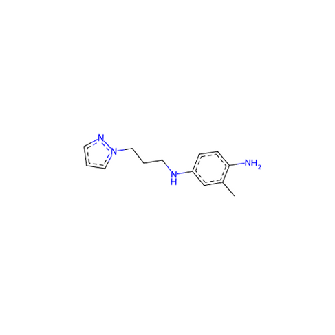 Cc1cc(NCCCn2cccn2)ccc1N